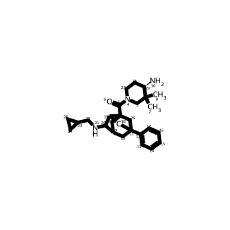 CC1(C)CN(C(=O)C23CC4CC(c5ccccc5)(CC2C4NCC2CC2)C3)CC[C@@H]1N